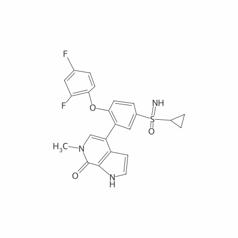 Cn1cc(-c2cc(S(=N)(=O)C3CC3)ccc2Oc2ccc(F)cc2F)c2cc[nH]c2c1=O